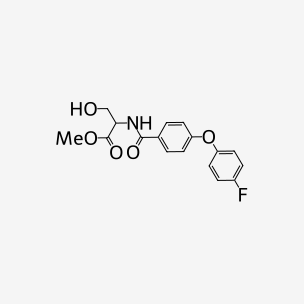 COC(=O)C(CO)NC(=O)c1ccc(Oc2ccc(F)cc2)cc1